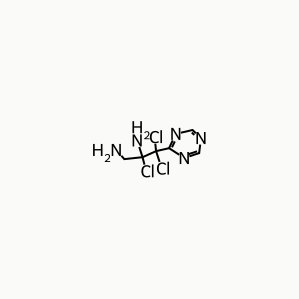 NCC(N)(Cl)C(Cl)(Cl)c1ncncn1